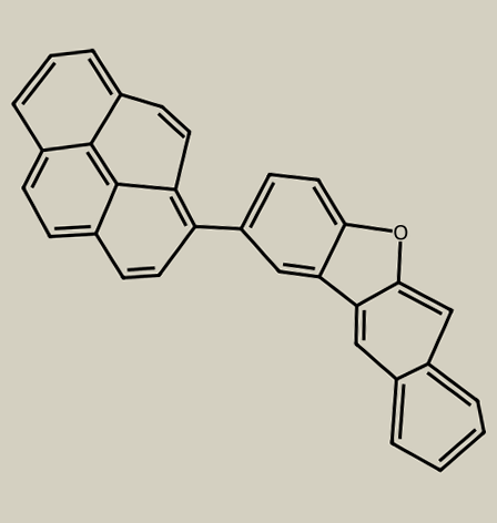 c1ccc2cc3c(cc2c1)oc1ccc(-c2ccc4ccc5cccc6ccc2c4c56)cc13